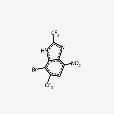 O=[N+]([O-])c1cc(C(F)(F)F)c(Br)c2[nH]c(C(F)(F)F)nc12